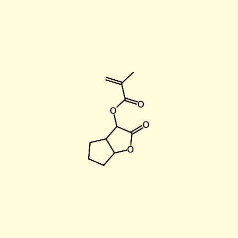 C=C(C)C(=O)OC1C(=O)OC2CCCC21